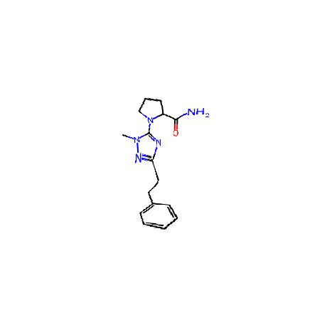 Cn1nc(CCc2ccccc2)nc1N1CCCC1C(N)=O